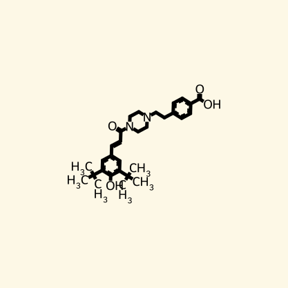 CC(C)(C)c1cc(/C=C/C(=O)N2CCN(CCc3ccc(C(=O)O)cc3)CC2)cc(C(C)(C)C)c1O